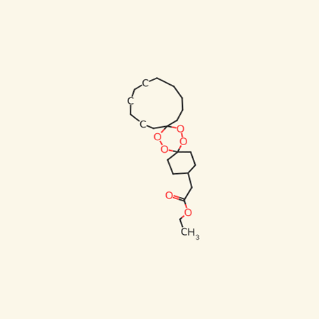 CCOC(=O)CC1CCC2(CC1)OOC1(CCCCCCCCCCC1)OO2